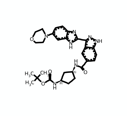 CC(C)(C)OC(=O)N[C@@H]1CC[C@H](NC(=O)c2ccc3[nH]nc(-c4nc5ccc(N6CCOCC6)cc5[nH]4)c3c2)C1